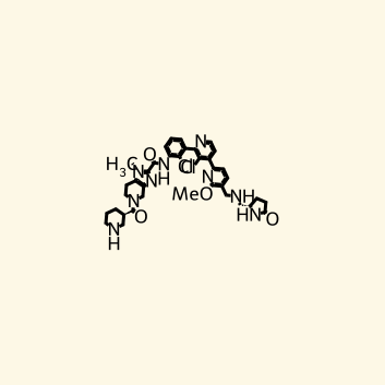 COc1nc(-c2ccnc(-c3cccc(NC(=O)c4nc5c(n4C)CCN(C(=O)[C@@H]4CCCNC4)C5)c3Cl)c2Cl)ccc1CNC[C@@H]1CCC(=O)N1